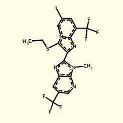 CCSc1c(-c2nc3cc(C(F)(F)F)cnc3n2C)nc2c(C(F)(F)F)cc(I)cn12